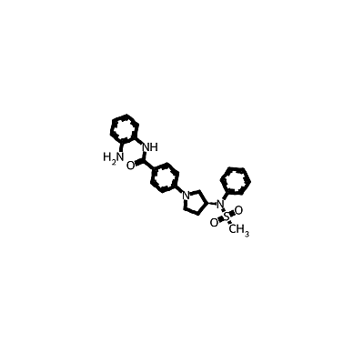 CS(=O)(=O)N(c1ccccc1)[C@H]1CCN(c2ccc(C(=O)Nc3ccccc3N)cc2)C1